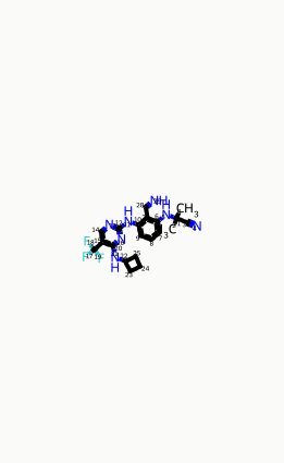 CC(C)(C#N)Nc1cccc(Nc2ncc(C(F)(F)F)c(NC3CCC3)n2)c1C=N